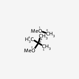 COC.COC(C)(C)C